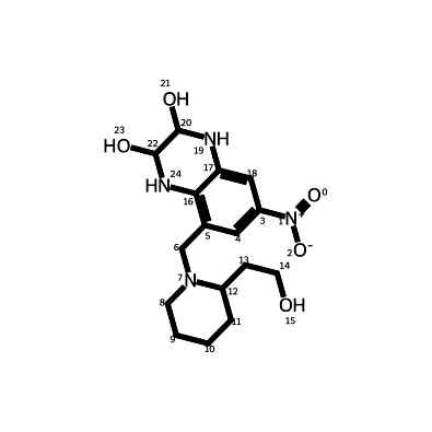 O=[N+]([O-])c1cc(CN2CCCCC2CCO)c2c(c1)NC(O)C(O)N2